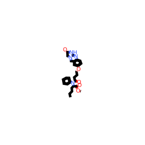 CCCCC(C(=O)OC)N(C(=O)CCCOc1ccc2c(c1)CN1CC(=O)NC1=N2)c1ccccc1